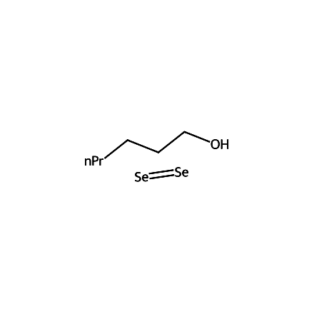 CCCCCCO.[Se]=[Se]